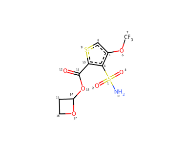 NS(=O)(=O)c1c(OC(F)(F)F)csc1C(=O)OC1CCO1